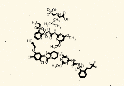 C#CCOc1cc(-n2nc3n(c2=O)CCCC3)c(Cl)cc1Cl.CCS(=O)(=O)c1cccnc1S(=O)(=O)NC(=O)Nc1nc(OC)cc(OC)n1.COc1nc(C)nc(NC(=O)NS(=O)(=O)c2ccccc2CCC(F)(F)F)n1.C[S+](C)C.O=C(O)CNCP(=O)([O-])O